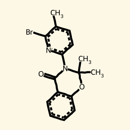 Cc1ccc(N2C(=O)c3ccccc3OC2(C)C)nc1Br